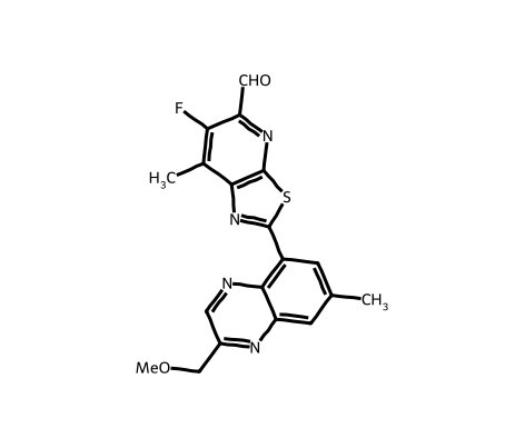 COCc1cnc2c(-c3nc4c(C)c(F)c(C=O)nc4s3)cc(C)cc2n1